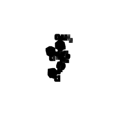 NC(=O)c1ccc(-n2c(-c3ccccc3Cl)nc3c(N4CCN(Cc5ccccc5Cl)CC4)ncnc32)cc1